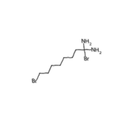 NC(N)(Br)CCCCCCCBr